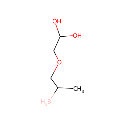 BC(C)COCC(O)O